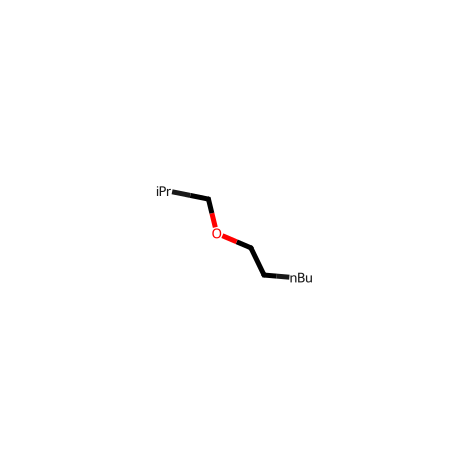 [CH2]CCCCCOCC(C)C